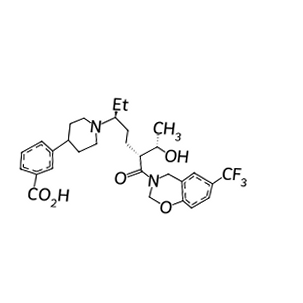 CC[C@@H](CC[C@@H](C(=O)N1COc2ccc(C(F)(F)F)cc2C1)[C@H](C)O)N1CCC(c2cccc(C(=O)O)c2)CC1